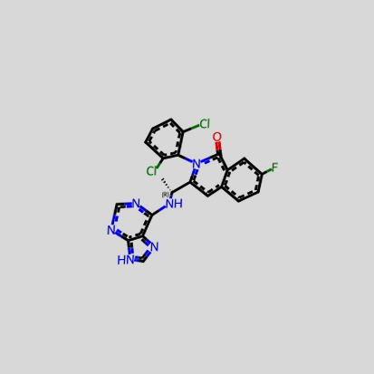 C[C@@H](Nc1ncnc2[nH]cnc12)c1cc2ccc(F)cc2c(=O)n1-c1c(Cl)cccc1Cl